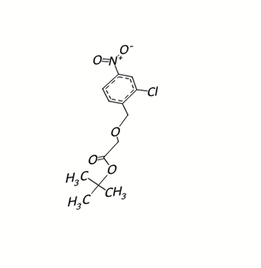 CC(C)(C)OC(=O)COCc1ccc([N+](=O)[O-])cc1Cl